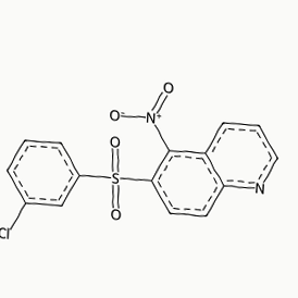 O=[N+]([O-])c1c(S(=O)(=O)c2cccc(Cl)c2)ccc2ncccc12